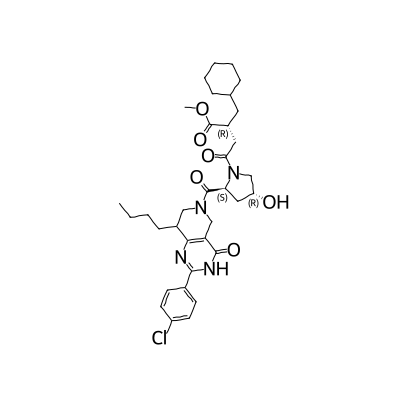 CCCCC1CN(C(=O)[C@@H]2C[C@@H](O)CN2C(=O)C[C@@H](CC2CCCCC2)C(=O)OC)Cc2c1nc(-c1ccc(Cl)cc1)[nH]c2=O